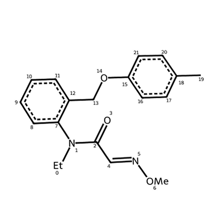 CCN(C(=O)C=NOC)c1ccccc1COc1ccc(C)cc1